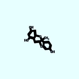 CC1(c2ccc(O)cc2)Oc2cc(O)cc(O)c2C=C1O